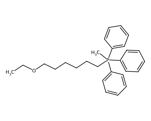 CCOCCCCCCP(C)(c1ccccc1)(c1ccccc1)c1ccccc1